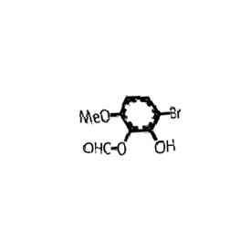 COc1ccc(Br)c(O)c1OC=O